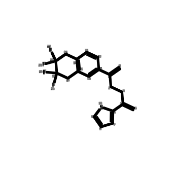 C=C(CCC(=C)c1cccs1)c1ccc2c(c1)CC(F)(F)C(F)(F)C2